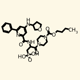 CCCCOC(=O)N1CCN(C(=O)C(CP(=O)(O)O)NC(=O)c2cc(NC3CCOC3)cc(-c3ccccc3)n2)CC1